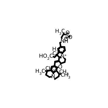 CC(CNCc1ccc2c(c1)C(C)(CC(=O)O)C1=[N+]2CCC2Oc3c(cc4c5c3C(C)(C)CCN5CCC4(C)C)C=C12)S(=O)(=O)[O-]